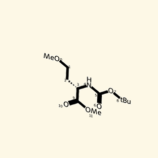 COCC[C@H](NC(=O)OC(C)(C)C)C(=O)OC